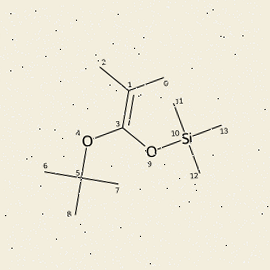 CC(C)=C(OC(C)(C)C)O[Si](C)(C)C